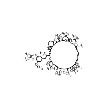 [2H]C([2H])([2H])O[C@H]1C[C@@H]2CC([2H])([2H])[C@@H](C)[C@@](O)(O2)C(=O)C(=O)N2CCCC[C@H]2C(=O)O[C@H]([C@H](C)C[C@@H]2CC[C@@H](OP(=C)(C)C)[C@H](OC)C2)CC(=O)[C@H](C([2H])([2H])[2H])/C=C(\C)[C@@H](O)[C@@H](OC)C(=O)[C@H](C)C([2H])(C)[C@]([2H])(C)/C=C/C=C/C=C/1C